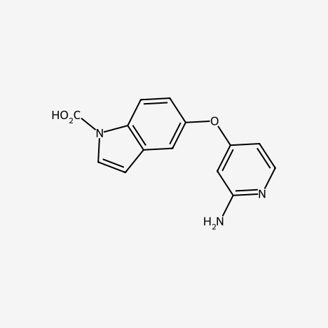 Nc1cc(Oc2ccc3c(ccn3C(=O)O)c2)ccn1